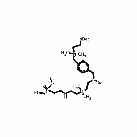 CCCCCCCCCCCC[N+](C)(C)Cc1ccc(CN(CC[N+](C)(C)CCNCCP(=O)(OCC)OCC)C(C)=O)cc1